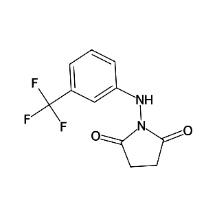 O=C1CCC(=O)N1Nc1cccc(C(F)(F)F)c1